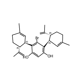 C=C(C)[C@@H]1CCC(C)=C[C@H]1c1c(O)cc(O)c([C@@H]2C=C(C)CC[C@H]2C(=C)C)c1Br